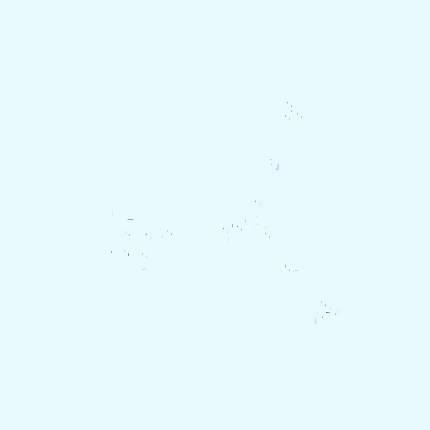 N=C1N[C@H]2[C@H](CS[C@H]2CCCCC(=O)NCCOCCNC(=O)c2cc(NC(=O)NCCOCCOCCNC(=O)CN3CCN(CC(=O)O)CCN(CC(=O)O)CCN(CC(=O)O)CC3)cc(C(=O)NCCOCCNC(=O)CCCC[C@@H]3SC[C@@H]4NC(=N)N[C@@H]43)c2)N1